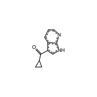 O=C(c1c[nH]c2ncccc12)C1CC1